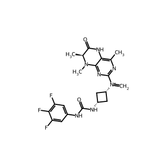 C=[N+](c1nc(C)c2c(n1)N(C)[C@@H](C)C(=O)N2)[C@H]1C[C@@H](NC(=O)Nc2cc(F)c(F)c(F)c2)C1